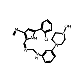 C=Nc1cc(-c2ccccc2Cl)[nH]c1/C=N\CNc1cccc(N2CCN(O)CC2)c1